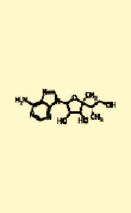 C[C@@H](CO)[C@]1(C)OC(n2cnc3c(N)ncnc32)C(O)C1O